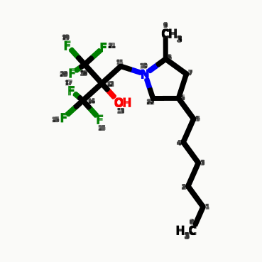 CCCCCCC1CC(C)N(CC(O)(C(F)(F)F)C(F)(F)F)C1